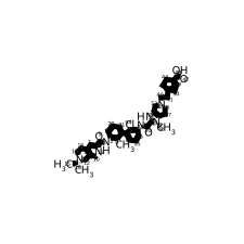 Cc1c(NC(=O)c2cc3c(cn2)CN(C(C)C)CC3)cccc1-c1cccc(NC(=O)c2nc3c(n2C)CCN(CCC24CCC(C(=O)O)(CC2)C4)C3)c1Cl